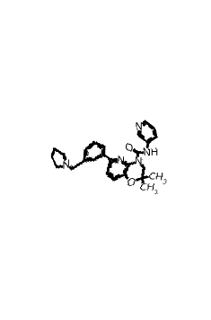 CC1(C)CN(C(=O)Nc2cccnc2)c2nc(-c3cccc(CN4CCCC4)c3)ccc2O1